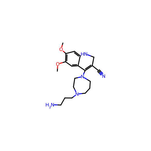 COc1cc2c(cc1OC)C(N1CCCN(CCCN)CC1)=C(C#N)CN2